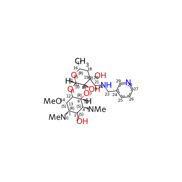 CN[C@@H]1[C@H](O)[C@H](NC)[C@H]2O[C@]3(O)[C@H](OC2[C@H]1OC)O[C@H](C)C[C@@]3(O)CNCc1cccnc1